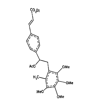 CCOC(=O)C=Cc1ccc(C(Cc2c(C)c(OC)c(OC)c(OC)c2OC)OC(C)=O)cc1